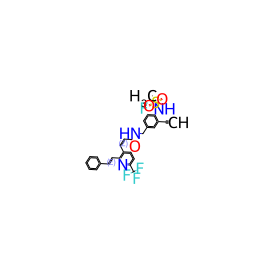 C#Cc1cc(CNC(=O)/C=C\c2ccc(C(F)(F)F)nc2/C=C/c2ccccc2)cc(F)c1NS(C)(=O)=O